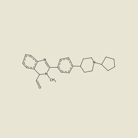 CN1C(c2ccc(C3CCN(C4CCCC4)CC3)cc2)=Nc2ccccc2C1C=O